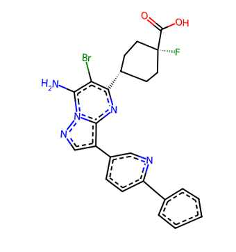 Nc1c(Br)c([C@H]2CC[C@](F)(C(=O)O)CC2)nc2c(-c3ccc(-c4ccccc4)nc3)cnn12